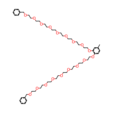 Cc1ccc(OCCOCCOCCOCCOCCOCCOCCOCCOCc2ccccc2)c(OCCOCCOCCOCCOCCOCCOCCOCCOCc2ccccc2)c1